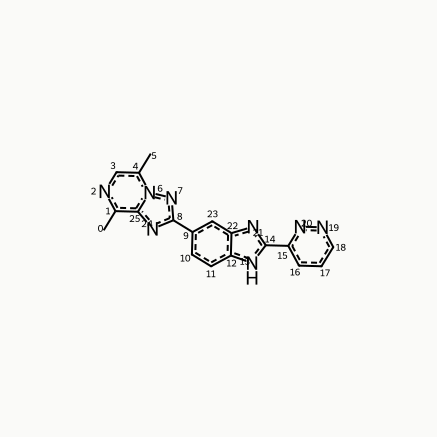 Cc1ncc(C)n2nc(-c3ccc4[nH]c(-c5cccnn5)nc4c3)nc12